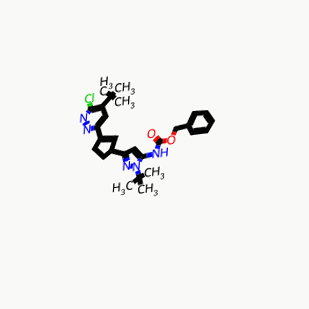 CC(C)(C)c1cc(C2=CC(c3cc(NC(=O)OCc4ccccc4)n(C(C)(C)C)n3)CC2)nnc1Cl